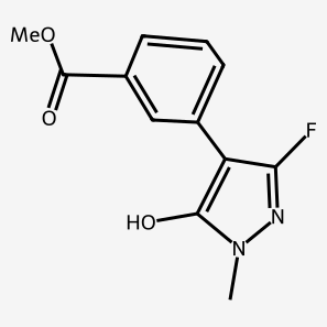 COC(=O)c1cccc(-c2c(F)nn(C)c2O)c1